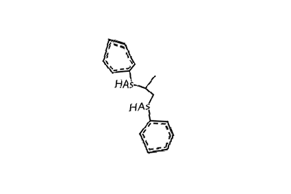 CC(C[AsH]c1ccccc1)[AsH]c1ccccc1